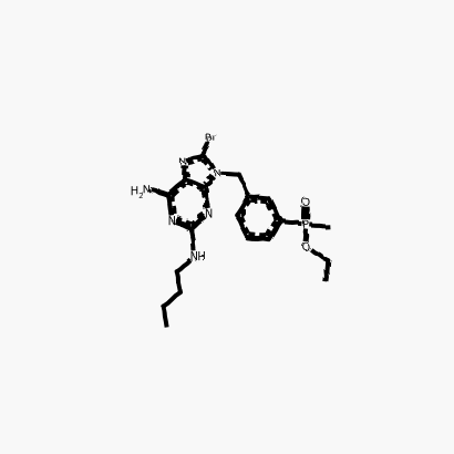 CCCCNc1nc(N)c2nc(Br)n(Cc3cccc(P(C)(=O)OCC)c3)c2n1